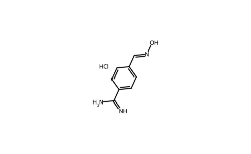 Cl.N=C(N)c1ccc(C=NO)cc1